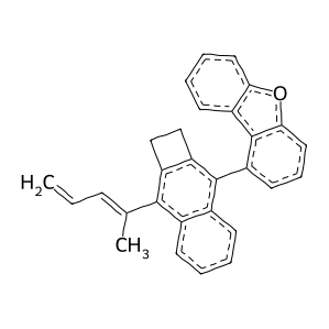 C=C/C=C(\C)c1c2c(c(-c3cccc4oc5ccccc5c34)c3ccccc13)CC2